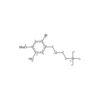 COc1cc(Br)c(COCC[Si](C)(C)C)cc1O